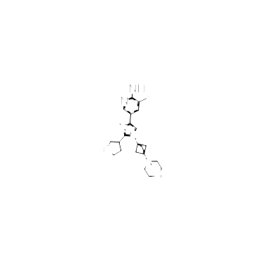 Cc1cc(-c2cn(C34CC(N5CCOCC5)(C3)C4)c(C3CCOC3)n2)cnc1N